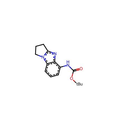 CC(C)(C)OC(=O)Nc1cccc2c1nc1n2CCC1